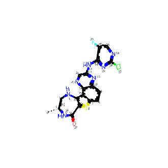 C[C@@H]1CNc2c(sc3ccc4nc(Nc5nc(Cl)ncc5F)cnc4c23)C(=O)N1